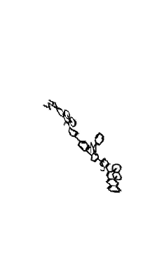 CCN(CC)c1ccc2c(C)c(-c3ccc(-c4ccc5c6ccc(-c7ccc(-c8cc9cc%10ccccc%10cc9oc8=O)s7)cc6n(-c6ccccc6)c5c4)cc3)c(=O)oc2c1